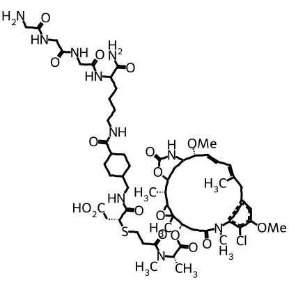 COc1cc2cc(c1Cl)N(C)C(=O)C[C@H](OC(=O)[C@H](C)N(C)C(=O)CCS[C@H](CC(=O)O)C(=O)NCC1CCC(C(=O)NCCCCC(NC(=O)CNC(=O)CNC(=O)CN)C(N)=O)CC1)C1(C)OC1[C@H](C)C1CC(NC(=O)O1)[C@H](OC)/C=C/C=C(\C)C2